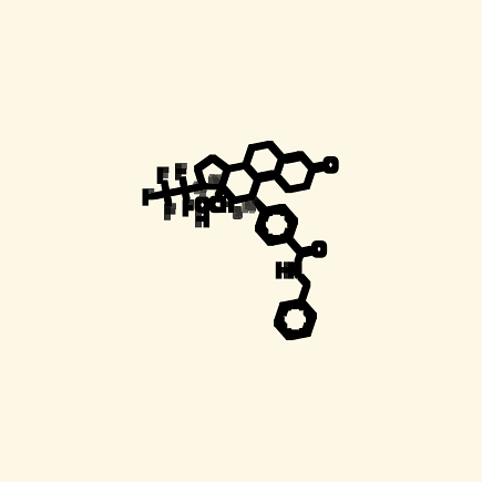 C[C@]12C[C@H](c3ccc(C(=O)NCc4ccccc4)cc3)C3=C4CCC(=O)C=C4CCC3C1CC[C@]2(O)C(F)(F)C(F)(F)F